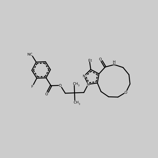 CCc1nn(CC(C)(C)COC(=O)c2ccc(C#N)cc2F)c2c1C(=O)NCCCOCCC2